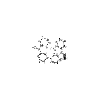 O=C(c1cccc(-c2cnc3[nH]nc(-c4ccncc4Cl)c3c2)c1)N1CCOCC1